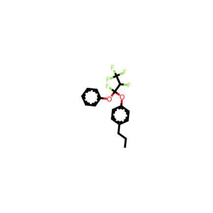 CCCc1ccc(OC(F)(Oc2ccccc2)C(F)C(F)(F)F)cc1